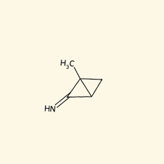 CC12CC1C2=N